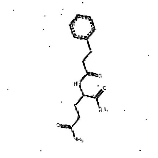 NC(=O)CCC(NC(=O)CCc1ccccc1)C(N)=O